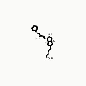 O=C(O)CSCCC1C[C@H]2C[C@@H](O)[C@H](C=CC(O)COc3ccccc3)[C@@H]2C1